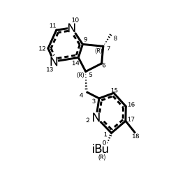 CC[C@@H](C)c1nc(C[C@H]2C[C@@H](C)c3nccnc32)ccc1C